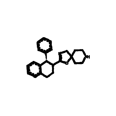 c1ccc([C@H]2c3ccccc3CCN2C2=NCC3(CCNCC3)O2)cc1